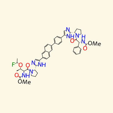 COC(=O)N[C@H](C(=O)N1CCC[C@H]1c1ncc(-c2ccc3cc(-c4ccc(-c5cnc([C@@H]6CCCN6C(=O)[C@H](NC(=O)OC)c6ccccc6)[nH]5)cc4)ccc3c2)[nH]1)[C@@H](C)OC(C)F